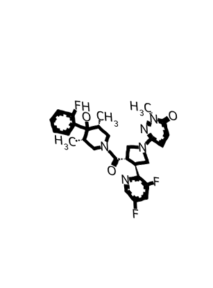 C[C@@H]1CN(C(=O)[C@@H]2CN(c3ccc(=O)n(C)n3)C[C@H]2c2ncc(F)cc2F)C[C@H](C)C1(O)c1ccccc1F